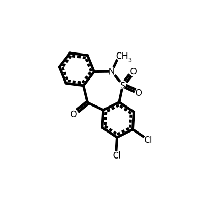 CN1c2ccccc2C(=O)c2cc(Cl)c(Cl)cc2S1(=O)=O